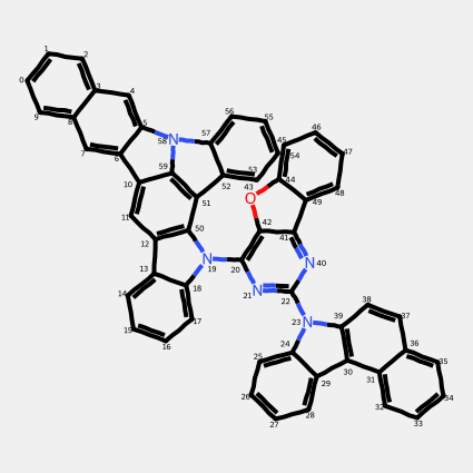 c1ccc2cc3c(cc2c1)c1cc2c4ccccc4n(-c4nc(-n5c6ccccc6c6c7ccccc7ccc65)nc5c4oc4ccccc45)c2c2c4ccccc4n3c12